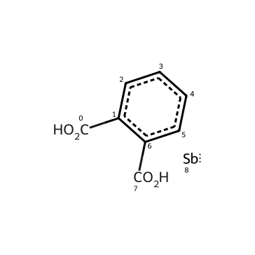 O=C(O)c1ccccc1C(=O)O.[Sb]